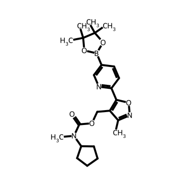 Cc1noc(-c2ccc(B3OC(C)(C)C(C)(C)O3)cn2)c1COC(=O)N(C)C1CCCC1